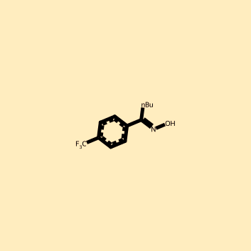 CCCC/C(=N\O)c1ccc(C(F)(F)F)cc1